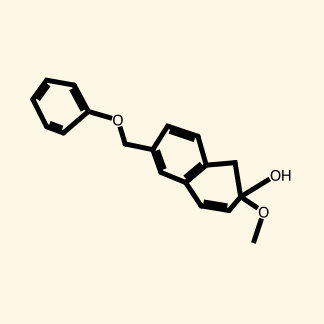 COC1(O)C=Cc2cc(COc3ccccc3)ccc2C1